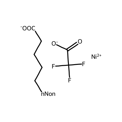 CCCCCCCCCCCCCC(=O)[O-].O=C([O-])C(F)(F)F.[Ni+2]